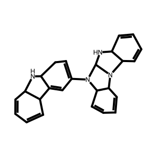 C1=CC2NC3CC=C(N4C5C=CC=CC5N5C6C=CC=CC6NC45)C=C3C2C=C1